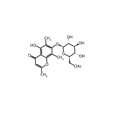 CC(=O)OC[C@H]1O[C@@H](Oc2c(C)c(O)c3c(=O)cc(C)oc3c2C)[C@H](O)[C@@H](O)[C@@H]1O